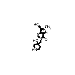 C#Cc1c2ncn(CC3(O)CCNCC3)c(=O)c2nn1C